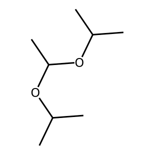 CC(C)OC(C)OC(C)C